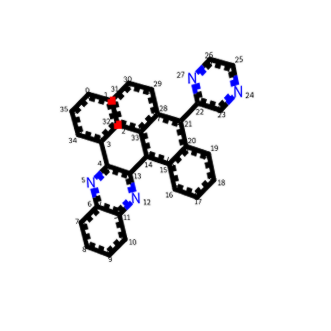 c1ccc(-c2nc3ccccc3nc2-c2c3ccccc3c(-c3cnccn3)c3ccccc23)cc1